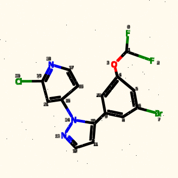 FC(F)Oc1cc(Br)cc(-c2ccnn2-c2ccnc(Cl)c2)c1